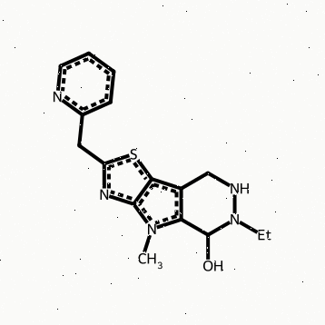 CCN1NCc2c(n(C)c3nc(Cc4ccccn4)sc23)C1O